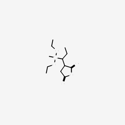 CCO[Si](C)(OCC)C(CC)C1CC(=O)OC1=O